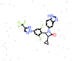 O=C1C(C2CC2)C(c2c(F)cc(-n3ncc(C(F)(F)F)n3)cc2F)N1c1ccc2[nH]cnc2c1